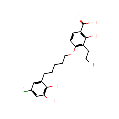 CCCc1c(OCCCCCc2cc(Cl)cc(O)c2O)ccc(C(=O)O)c1O